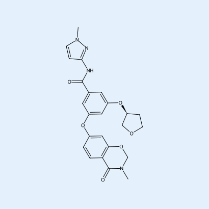 CN1COc2cc(Oc3cc(O[C@H]4CCOC4)cc(C(=O)Nc4ccn(C)n4)c3)ccc2C1=O